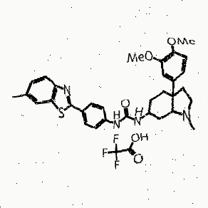 COc1ccc(C23CCC(NC(=O)Nc4ccc(-c5nc6ccc(C)cc6s5)cc4)CC2N(C)CC3)cc1OC.O=C(O)C(F)(F)F